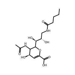 CCCCC(=O)NC[C@H](O)[C@H](O)C1OC(C(=O)O)=C[C@@H](O)C1NC(C)=O